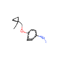 CC1(COc2ccc(N)cc2)CC1